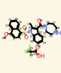 COc1ccc(S(=O)(=O)n2c(C)c(C(=O)N3CCCNCC3)c3ccccc32)c2ccccc12.O=C(O)C(F)(F)F